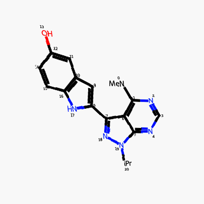 CNc1ncnc2c1c(-c1cc3cc(O)ccc3[nH]1)nn2C(C)C